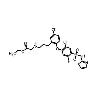 CCOC(=O)CNCCCc1cc(Cl)ccc1Oc1cc(F)c(S(=O)(=O)Nc2nccs2)cc1Cl